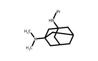 CC(C)NC12CC3CC(C1)CC(N(C)C)(C3)C2